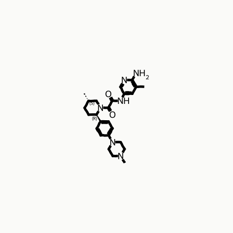 Cc1cc(NC(=O)C(=O)N2C[C@@H](C)CC[C@@H]2c2ccc(N3CCN(C)CC3)cc2)cnc1N